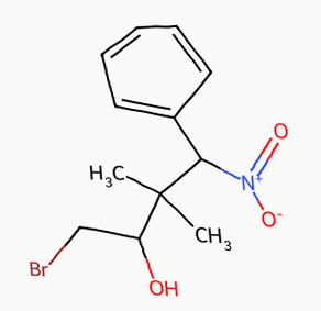 CC(C)(C(O)CBr)C(c1ccccc1)[N+](=O)[O-]